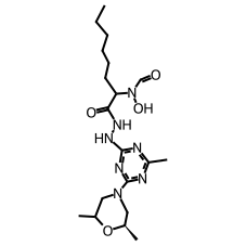 CCCCCCC(C(=O)NNc1nc(C)nc(N2CC(C)O[C@H](C)C2)n1)N(O)C=O